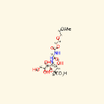 COCCOCCOC(=O)NCC(=O)NC1C(O)CC(C)(C(=O)O)OC1[C@H](O)C(O)CO